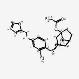 CN1C2CCC1(OC(=O)C(F)(F)F)CC(Sc1ccc(OCc3nnco3)cc1Cl)C2